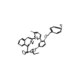 CCOC(=O)c1nc(-n2c(C)ccc2-c2cc(Cl)ccc2OCc2ccc(F)cc2)cc2ccccc12